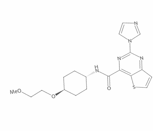 COCCO[C@H]1CC[C@H](NC(=O)c2nc(-n3ccnc3)nc3ccsc23)CC1